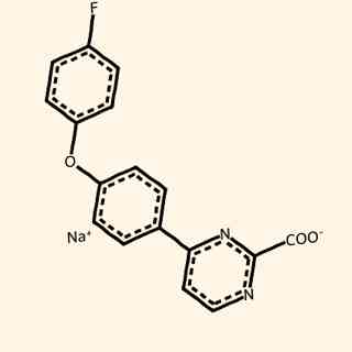 O=C([O-])c1nccc(-c2ccc(Oc3ccc(F)cc3)cc2)n1.[Na+]